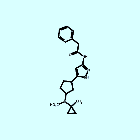 CC1(N(C(=O)O)C2CCC(c3cc(NC(=O)Cc4ccccn4)n[nH]3)C2)CC1